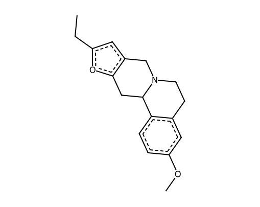 CCc1cc2c(o1)CC1c3ccc(OC)cc3CCN1C2